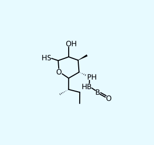 CC[C@H](C)C1OC(S)C(O)[C@@H](C)[C@@H]1PBB=O